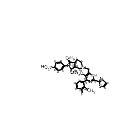 CCOC(=O)C1=C(CN2CC[C@@H]3C(=O)N(c4ccc(C(=O)O)cc4)C[C@@H]3C2)NC(c2nccs2)=NC1c1cccc(F)c1C